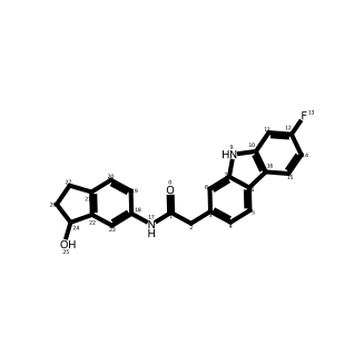 O=C(Cc1ccc2c(c1)[nH]c1cc(F)ccc12)Nc1ccc2c(c1)C(O)CC2